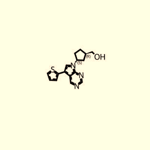 OC[C@@H]1CC[C@H](n2cc(-c3cccs3)c3cncnc32)C1